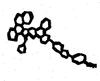 N#Cc1ccc(-c2ccc3cc(-c4ccc5c(c4)c4ccccc4c4cc6c7c8c9ccccc9ccc8c8ccccc8c7n(-c7ccccc7)c6cc54)ccc3c2)cc1